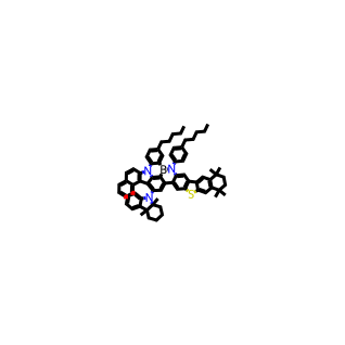 CCCCCc1ccc(N2B3c4cc(CCCCC)ccc4-n4c5ccc6ccccc6c5c5c(N6c7ccccc7C7(C)CCCCC67C)cc(c3c54)-c3cc4sc5cc6c(cc5c4cc32)C(C)(C)CCC6(C)C)cc1